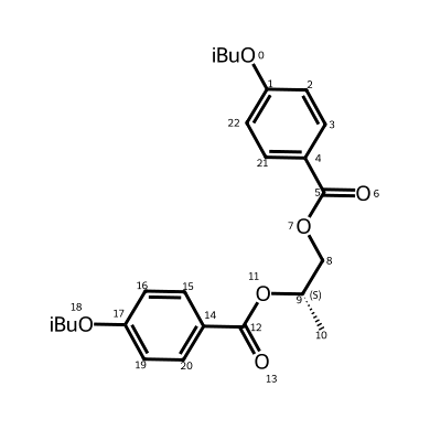 CC(C)COc1ccc(C(=O)OC[C@H](C)OC(=O)c2ccc(OCC(C)C)cc2)cc1